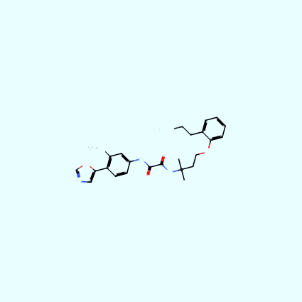 COc1cc(NC(=O)C(=O)NC(C)(C)CCOc2ccccc2CCC(=O)O)ccc1-c1cnco1